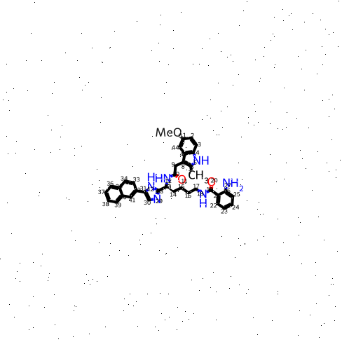 COc1ccc2[nH]c(C)c(CC(=O)N[C@@H](CCCCNC(=O)c3ccccc3N)c3ncc(-c4ccc5ccccc5c4)[nH]3)c2c1